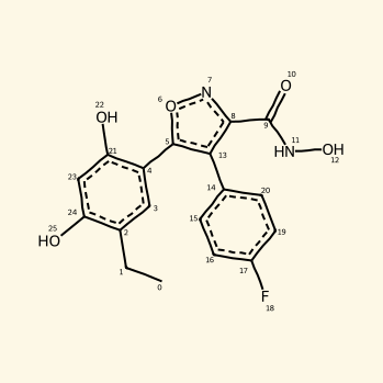 CCc1cc(-c2onc(C(=O)NO)c2-c2ccc(F)cc2)c(O)cc1O